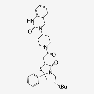 CC(C)(C)CCN1C(=O)C(CC(=O)N2CCC(N3Cc4ccccc4NC3=O)CC2)SC1(C)c1ccccc1